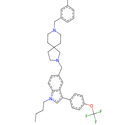 CCCCn1cc(-c2ccc(OC(F)(F)F)cc2)c2cc(CN3CCC4(CCN(Cc5cccc(C)c5)CC4)C3)ccc21